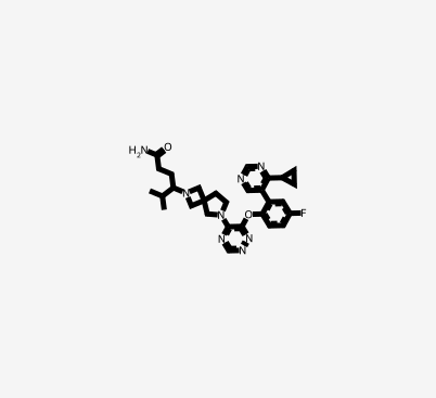 CC(C)C(CCC(N)=O)N1CC2(CCN(c3ncnnc3Oc3ccc(F)cc3-c3cncnc3C3CC3)C2)C1